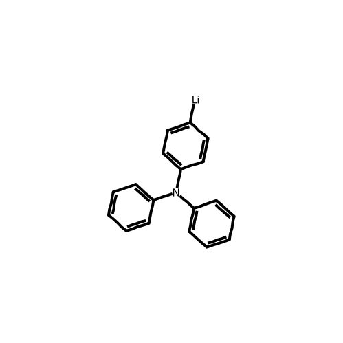 [Li][c]1ccc(N(c2ccccc2)c2ccccc2)cc1